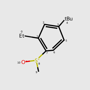 CCc1cc(C(C)(C)C)ccc1[S+](C)[O-]